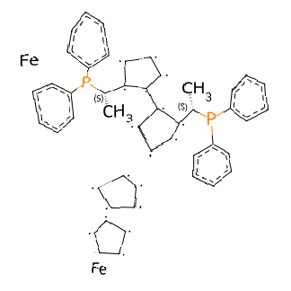 C[C@@H]([C]1[CH][CH][CH][C]1[C]1[CH][CH][CH][C]1[C@H](C)P(c1ccccc1)c1ccccc1)P(c1ccccc1)c1ccccc1.[CH]1[CH][CH][CH][CH]1.[CH]1[CH][CH][CH][CH]1.[Fe].[Fe]